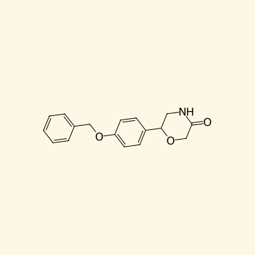 O=C1COC(c2ccc(OCc3ccccc3)cc2)CN1